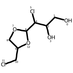 OCC(O)C(Cl)C1OCC(CCl)O1